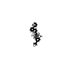 COc1ccc(C2COC2)cc1S(=O)(=O)NC(=O)c1ccc2c(-c3ccccn3)cccc2n1